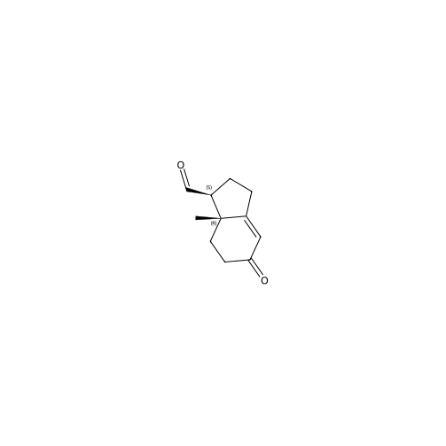 C[C@]12CCC(=O)C=C1CC[C@@H]2C=O